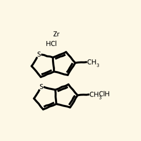 CC1=CC2=CCSC2=C1.CC1=CC2=CCSC2=C1.Cl.Cl.[Zr]